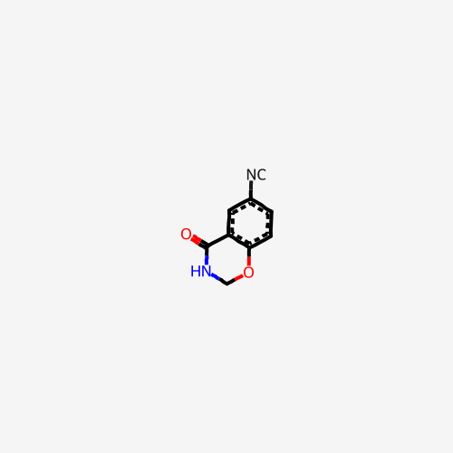 [C-]#[N+]c1ccc2c(c1)C(=O)NCO2